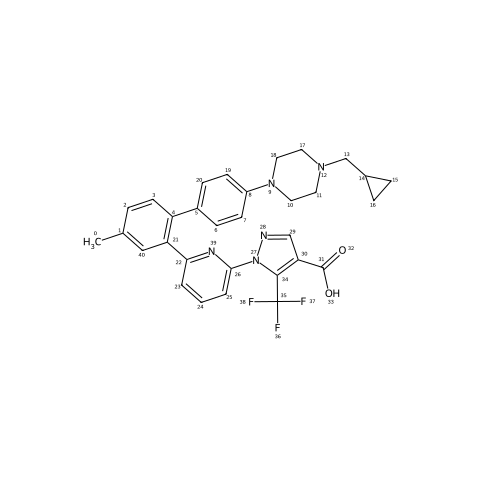 Cc1ccc(-c2ccc(N3CCN(CC4CC4)CC3)cc2)c(-c2cccc(-n3ncc(C(=O)O)c3C(F)(F)F)n2)c1